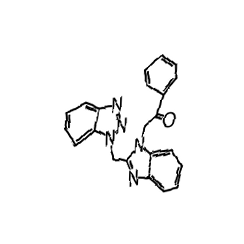 O=C(Cn1c(Cn2nnc3ccccc32)nc2ccccc21)c1ccccc1